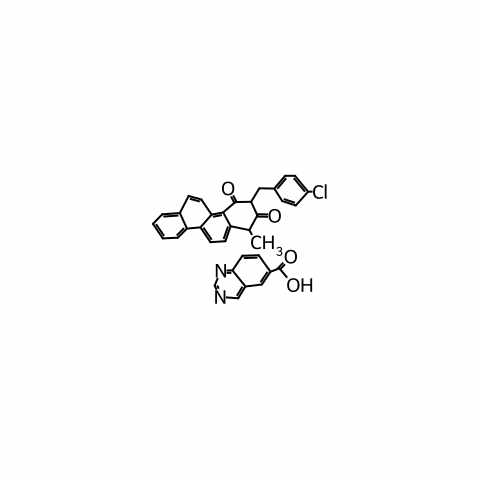 CC1C(=O)C(Cc2ccc(Cl)cc2)C(=O)c2c1ccc1c2ccc2ccccc21.O=C(O)c1ccc2ncncc2c1